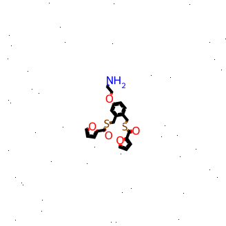 NCCOc1ccc(CSC(=O)c2ccco2)c(CSC(=O)c2ccco2)c1